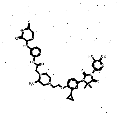 CC1(C)C(=O)N(c2cnc(C#N)c(C(F)(F)F)c2)C(=S)N1c1ccc(OCCN2CCN(CC(=O)Nc3cccc(NC4CCC(=O)NC4=O)c3)C(C(F)(F)F)C2)c(C2CC2)c1